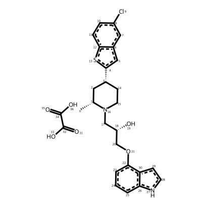 C[C@@H]1C[C@H](c2cc3cc(Cl)ccc3s2)CCN1C[C@H](O)COc1cccc2[nH]ccc12.O=C(O)C(=O)O